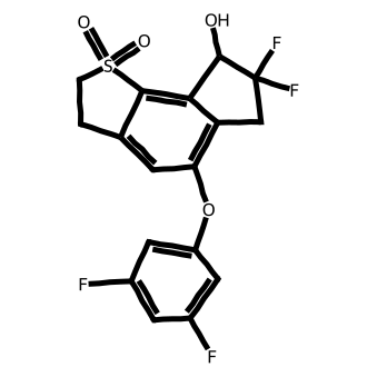 O=S1(=O)CCc2cc(Oc3cc(F)cc(F)c3)c3c(c21)C(O)C(F)(F)C3